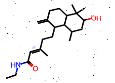 C=C1CCC2C(C(C)CC(O)C2(C)C)C1CC/C(C)=C/C(=O)NCC